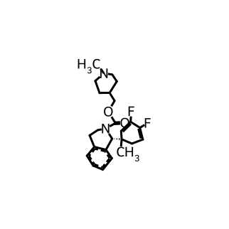 CN1CCC(COC(=O)N2CCc3ccccc3[C@H]2C2(C)C=C(F)C(F)=CC2)CC1